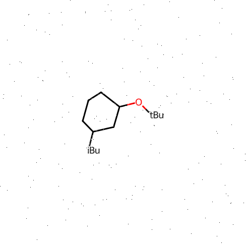 CCC(C)C1CCCC(OC(C)(C)C)C1